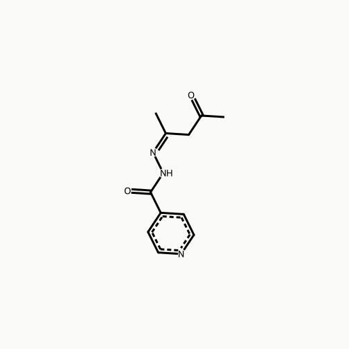 CC(=O)CC(C)=NNC(=O)c1ccncc1